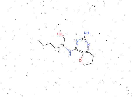 CCCC[C@H](CO)Nc1nc(N)nc2c1OCCC2